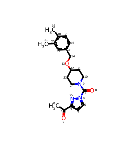 CC(=O)c1ccn(C(=O)N2CCC(OCc3ccc(C)c(C)c3)CC2)n1